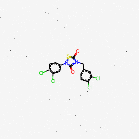 O=c1sn(-c2ccc(Cl)c(Cl)c2)c(=O)n1Cc1ccc(Cl)c(Cl)c1